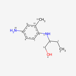 CCC(CO)Nc1ccc(N)cc1C